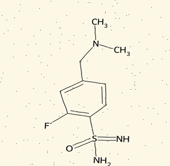 CN(C)Cc1ccc(S(=N)(N)=O)c(F)c1